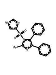 CC(C)c1nc(-c2ccccc2)c(-c2ccccc2)n1S(=O)(=O)c1c[nH]cn1